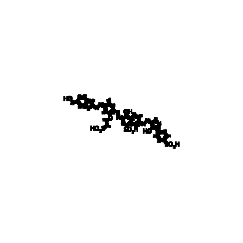 Cc1cc(N=Nc2ccc3c(S(=O)(=O)O)c(N=Nc4cnn(-c5ccc(S(=O)(=O)O)cc5)c4O)ccc3c2O)c(OCCS(=O)(=O)O)cc1N=Nc1nc2ccc(CO)cc2s1